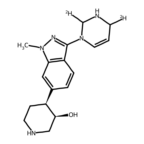 [2H]C1C=CN(c2nn(C)c3cc([C@@H]4CCNC[C@@H]4O)ccc23)C([2H])N1